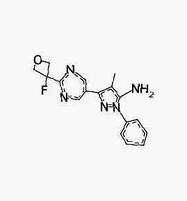 Cc1c(-c2cnc(C3(F)COC3)nc2)nn(-c2ccccc2)c1N